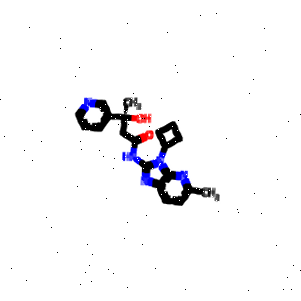 Cc1ccc2nc(NC(=O)C[C@](C)(O)c3cccnc3)n(C3CCC3)c2n1